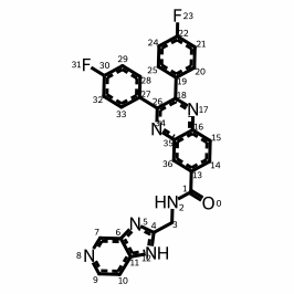 O=C(NCc1nc2cnccc2[nH]1)c1ccc2nc(-c3ccc(F)cc3)c(-c3ccc(F)cc3)nc2c1